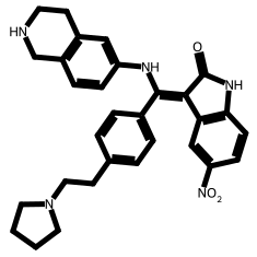 O=C1Nc2ccc([N+](=O)[O-])cc2C1=C(Nc1ccc2c(c1)CCNC2)c1ccc(CCN2CCCC2)cc1